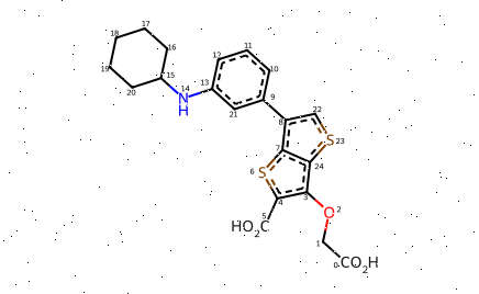 O=C(O)COc1c(C(=O)O)sc2c(-c3cccc(NC4CCCCC4)c3)csc12